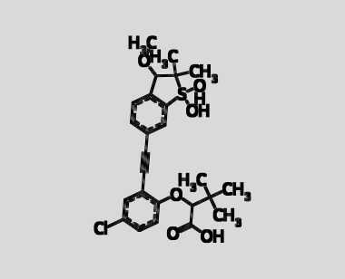 COC1c2ccc(C#Cc3cc(Cl)ccc3OC(C(=O)O)C(C)(C)C)cc2S(O)(O)C1(C)C